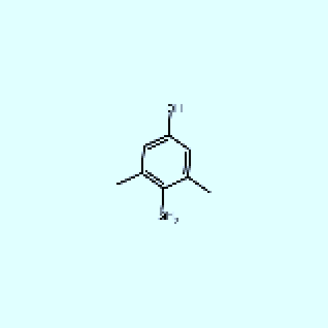 Cc1cc(O)cc(C)c1[SiH3]